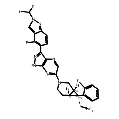 NC[C@]1(c2ccccc2F)[C@@H]2CCN(c3cnc4c(-c5ccc6nn(C(F)F)cc6c5F)n[nH]c4n3)C[C@@H]21